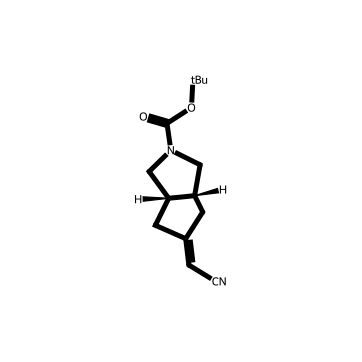 CC(C)(C)OC(=O)N1C[C@H]2C/C(=C/C#N)C[C@H]2C1